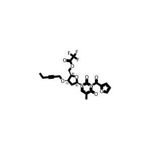 CCC#CCO[C@H]1C[C@H](n2cc(C)c(=O)n(C(=O)c3ccco3)c2=O)O[C@@H]1COC(=O)C(F)(F)F